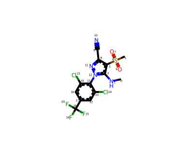 CNc1c(S(C)(=O)=O)c(C#N)nn1-c1c(Cl)cc(C(F)(F)F)cc1Cl